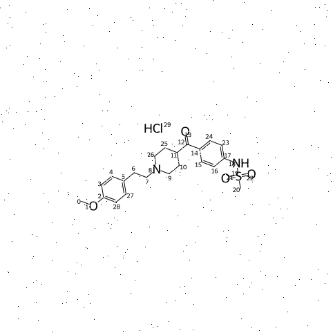 COc1ccc(CCN2CCC(C(=O)c3ccc(NS(C)(=O)=O)cc3)CC2)cc1.Cl